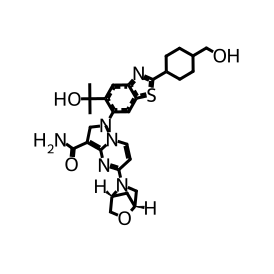 CC(C)(O)c1cc2nc(C3CCC(CO)CC3)sc2cc1N1CC(C(N)=O)=C2N=C(N3C[C@H]4C[C@@H]3CO4)C=CN21